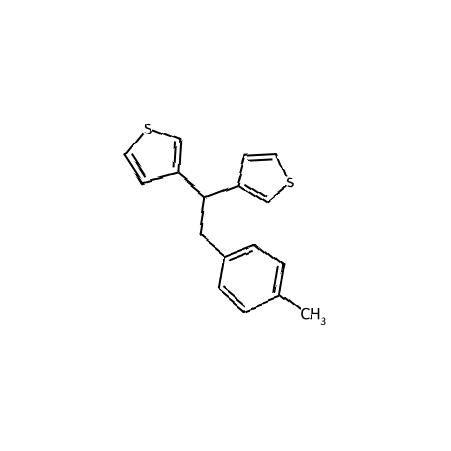 Cc1ccc(CC(c2ccsc2)c2ccsc2)cc1